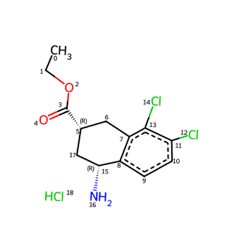 CCOC(=O)[C@@H]1Cc2c(ccc(Cl)c2Cl)[C@H](N)C1.Cl